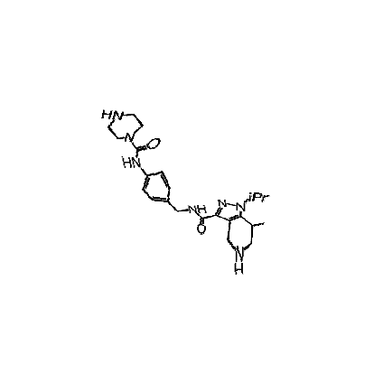 CC1CNCc2c(C(=O)NCc3ccc(NC(=O)N4CCNCC4)cc3)nn(C(C)C)c21